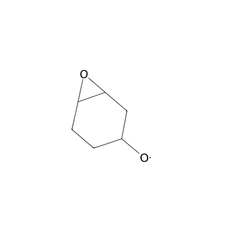 [O]C1CCC2OC2C1